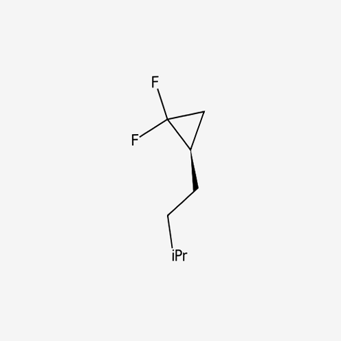 CC(C)CC[C@@H]1CC1(F)F